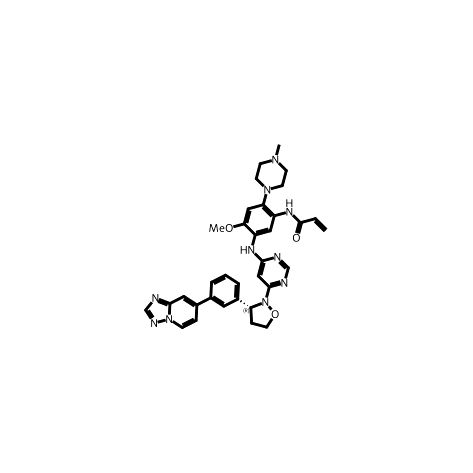 C=CC(=O)Nc1cc(Nc2cc(N3OCC[C@@H]3c3cccc(-c4ccn5ncnc5c4)c3)ncn2)c(OC)cc1N1CCN(C)CC1